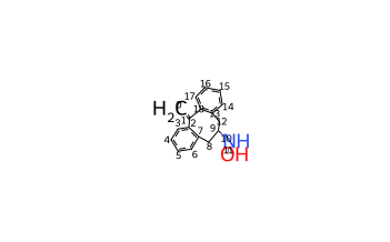 C=C1c2ccccc2CC(NO)Cc2ccccc21